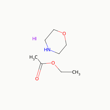 C1COCCN1.CCOC(C)=O.I